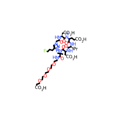 CC(C)[C@H](NC(=O)C(CCC(=O)O)NC(=O)[C@H](CC(=O)O)NC(=O)Cn1cc(CCCF)nn1)C(=O)NC(CC(=O)O)C(=O)NC(C)(C)C(=O)NCCOCCOCCOCCOCCC(=O)O